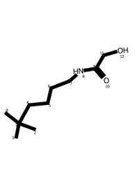 CC(C)(C)CCCCNC(=O)CO